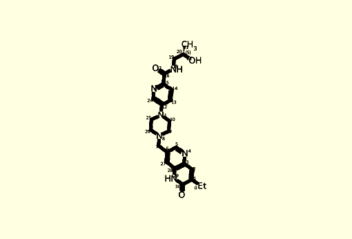 CCc1cc2ncc(CN3CCN(c4ccc(C(=O)NC[C@H](C)O)nc4)CC3)cc2[nH]c1=O